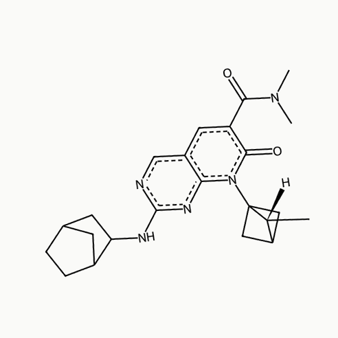 C[C@@H]1C2CC1(n1c(=O)c(C(=O)N(C)C)cc3cnc(NC4CC5CCC4C5)nc31)C2